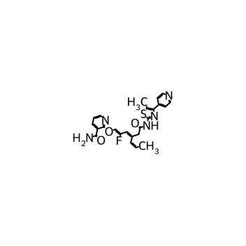 C\C=C/C(=C\C(F)=C\Oc1ncccc1C(N)=O)CC(=O)Nc1nc(-c2ccncc2)c(C)s1